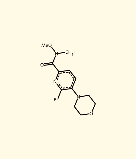 CON(C)C(=O)c1ccc(N2CCOCC2)c(Br)n1